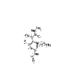 Cl.NNC(=O)N(N)c1ncc(NC=O)nc1Cl.O.O